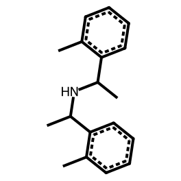 Cc1ccccc1C(C)NC(C)c1ccccc1C